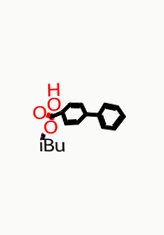 CCC(C)COC(=O)C1(O)C=CC(c2ccccc2)C=C1